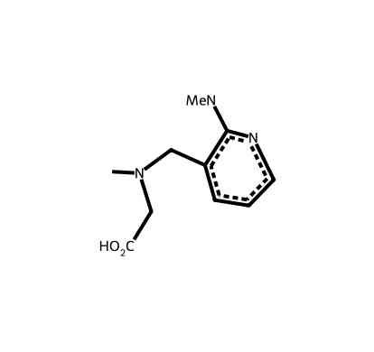 CNc1ncccc1CN(C)CC(=O)O